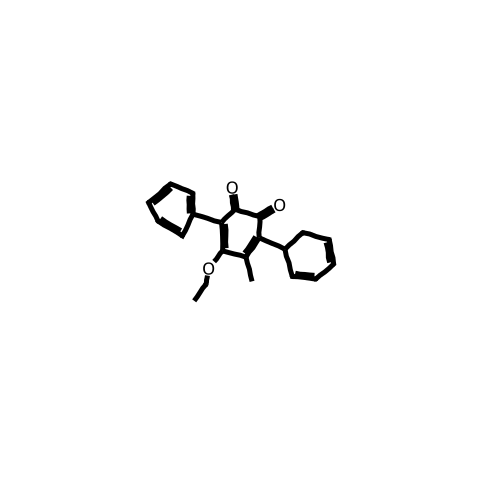 CCOC1=C(c2ccccc2)C(=O)C(=O)C(C2C=CC=CC2)=C1C